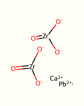 [Ca+2].[O]=[Zr]([O-])[O-].[O]=[Zr]([O-])[O-].[Pb+2]